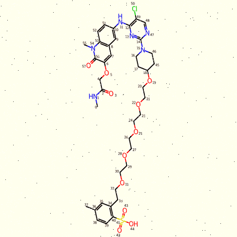 CNC(=O)COc1cc2cc(Nc3nc(N4CCC(OCCOCCOCCOCCOCCc5cc(C)ccc5S(=O)(=O)O)CC4)ncc3Cl)ccc2n(C)c1=O